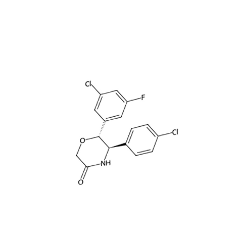 O=C1CO[C@H](c2cc(F)cc(Cl)c2)[C@@H](c2ccc(Cl)cc2)N1